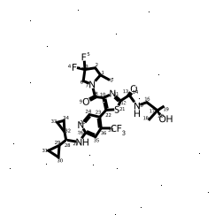 CC1CC(F)(F)CN1C(=O)c1nc(C(=O)NCC(C)(C)O)sc1-c1cnc(NC(C2CC2)C2CC2)cc1C(F)(F)F